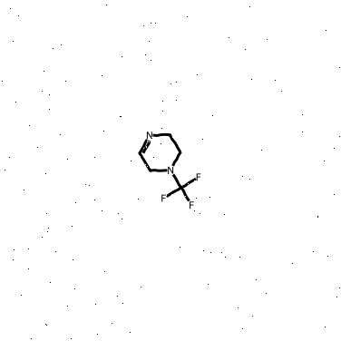 FC(F)(F)N1CC=NCC1